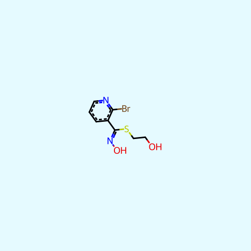 OCCSC(=NO)c1cccnc1Br